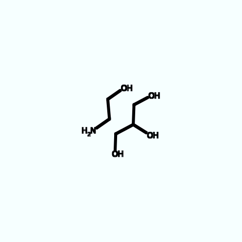 NCCO.OCC(O)CO